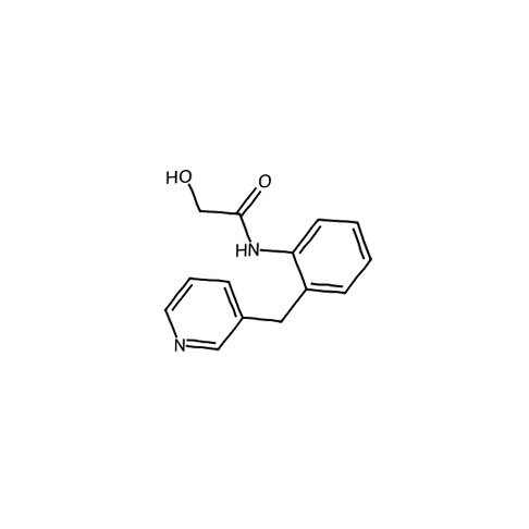 O=C(CO)Nc1ccccc1Cc1cccnc1